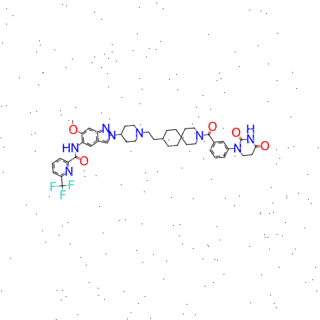 COc1cc2nn(C3CCN(CCC4CCC5(CC4)CCN(C(=O)c4cccc(N6CCC(=O)NC6=O)c4)CC5)CC3)cc2cc1NC(=O)c1cccc(C(F)(F)F)n1